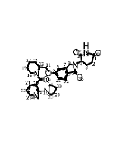 O=C1CCC(N2Cc3cc(OC[C@@H]4CCCCN4C(=O)c4cccnc4N4CCCC4)ccc3C2=O)C(=O)N1